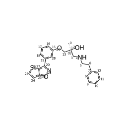 C[C@](O)(CNCCc1ccccc1)COc1cccc(-c2noc3ccsc23)c1